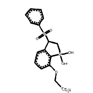 O=C(O)COc1cccc2c1S(O)(O)CC2S(=O)(=O)c1ccccc1